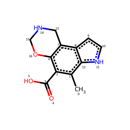 Cc1c(C(=O)O)c2c(c3cc[nH]c13)CNCO2